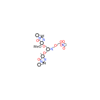 COc1cc2c(cc1OCc1cc(COc3cc4c(cc3C)C(=O)N3c5ccccc5C[C@H]3C=N4)cc(N(C)CCOCCC(=O)ON3C(=O)CCC3=O)c1)N=C[C@@H]1Cc3ccccc3N1C2=O